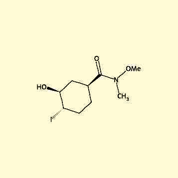 CON(C)C(=O)[C@H]1CC[C@H](I)[C@@H](O)C1